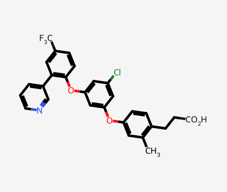 Cc1cc(Oc2cc(Cl)cc(Oc3ccc(C(F)(F)F)cc3-c3cccnc3)c2)ccc1CCC(=O)O